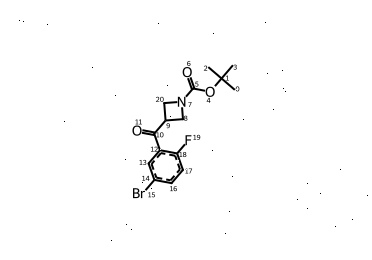 CC(C)(C)OC(=O)N1CC(C(=O)c2cc(Br)ccc2F)C1